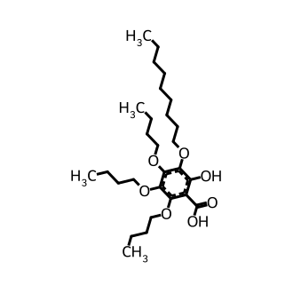 CCCCCCCCCOc1c(O)c(C(=O)O)c(OCCCC)c(OCCCC)c1OCCCC